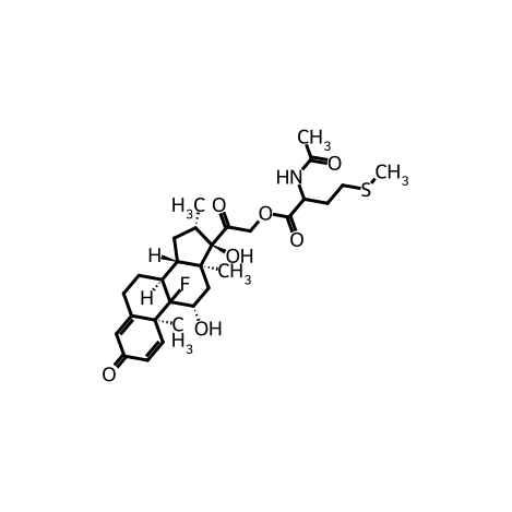 CSCCC(NC(C)=O)C(=O)OCC(=O)[C@@]1(O)[C@@H](C)C[C@H]2[C@@H]3CCC4=CC(=O)C=C[C@]4(C)C3(F)[C@@H](O)C[C@@]21C